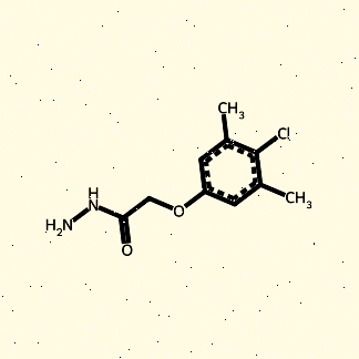 Cc1cc(OCC(=O)NN)cc(C)c1Cl